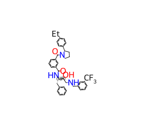 CCc1ccc(C2CCCN2C(=O)c2cccc(C(=O)N[C@@H](Cc3ccccc3)[C@H](O)CNCc3cccc(C(F)(F)F)c3)c2)cc1